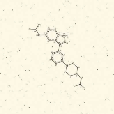 CC(C)CN1CCN(c2cc(-c3n[nH]c4cnc(OC(C)C)cc34)ccn2)CC1